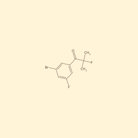 CC(C)(F)C(=O)c1cc(F)cc(Br)c1